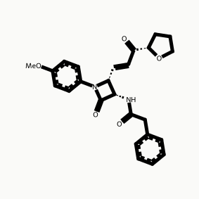 COc1ccc(N2C(=O)[C@@H](NC(=O)Cc3ccccc3)[C@H]2C=CC(=O)[C@@H]2CCCO2)cc1